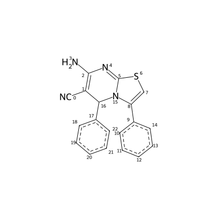 N#CC1=C(N)N=C2SC=C(c3ccccc3)N2C1c1ccccc1